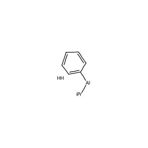 C[CH](C)[Al][c]1ccccc1.[HH]